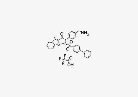 NCc1ccc(C(NS(=O)(=O)c2ccc(-c3ccccc3)cc2)C(=O)c2nc3ccccc3s2)cc1.O=C(O)C(F)(F)F